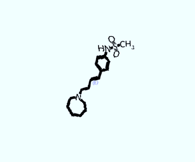 CS(=O)(=O)Nc1ccc(/C=C/CCN2CCCCCC2)cc1